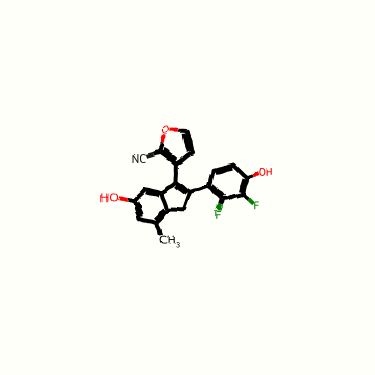 Cc1cc(O)cc2c1CC(c1ccc(O)c(F)c1F)=C2c1ccoc1C#N